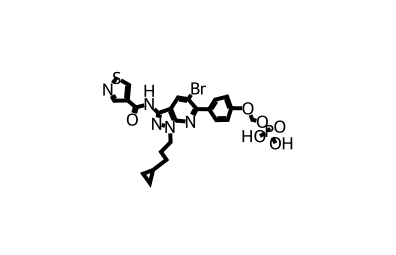 O=C(Nc1nn(CCCC2CC2)c2nc(-c3ccc(OCOP(=O)(O)O)cc3)c(Br)cc12)c1cnsc1